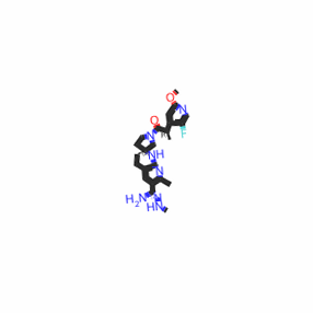 CN/N=C(\N)c1cc2c(nc1C)N[C@@]1(CC2)CCN(C(=O)[C@H](C)c2cc(OC)ncc2F)C1